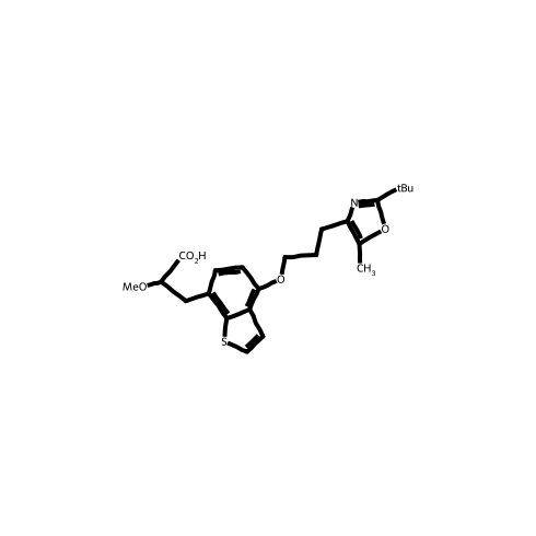 COC(Cc1ccc(OCCCc2nc(C(C)(C)C)oc2C)c2ccsc12)C(=O)O